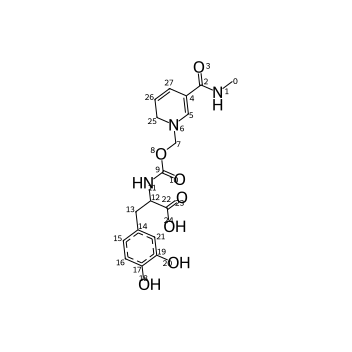 CNC(=O)C1=CN(COC(=O)NC(Cc2ccc(O)c(O)c2)C(=O)O)CC=C1